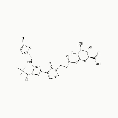 CC(C)(C)C(=O)n1nc(-c2cccn(CCC(=O)O[C@@H]3O[C@H](C(=O)O)[C@@H](O)[C@H](O)[C@H]3O)c2=O)cc1NCc1ccc(Cl)s1